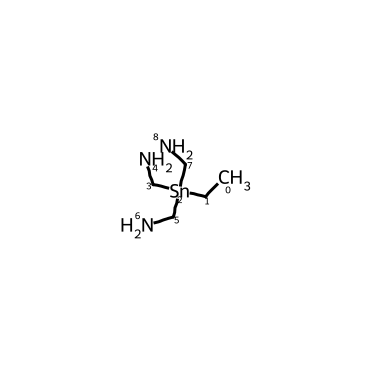 C[CH2][Sn]([CH2]N)([CH2]N)[CH2]N